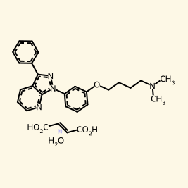 CN(C)CCCCOc1cccc(-n2nc(-c3ccccc3)c3cccnc32)c1.O.O=C(O)/C=C/C(=O)O